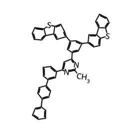 Cc1nc(-c2cccc(-c3ccc(-c4ccccc4)cc3)c2)cc(-c2cc(-c3ccc4sc5ccccc5c4c3)cc(-c3ccc4sc5ccccc5c4c3)c2)n1